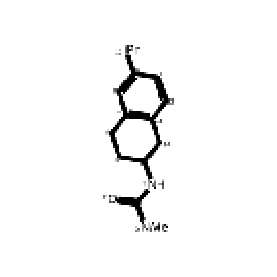 CNC(=O)NC1CCc2cc(C(C)C)ccc2C1